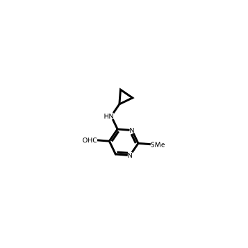 CSc1ncc(C=O)c(NC2CC2)n1